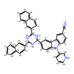 N#Cc1ccc2c(c1)c1cc(-c3nc(-c4ccc5ccccc5c4)nc(-c4ccc5ccccc5c4)n3)ccc1n2-c1cccnc1